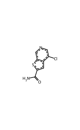 NC(=O)c1cc2c(Cl)cncc2s1